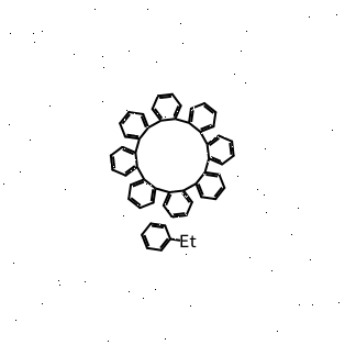 CCc1ccccc1.c1ccc2c(c1)-c1ccccc1-c1ccccc1-c1ccccc1-c1ccccc1-c1ccccc1-c1ccccc1-c1ccccc1-2